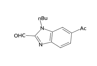 CCCCn1c(C=O)nc2ccc(C(C)=O)cc21